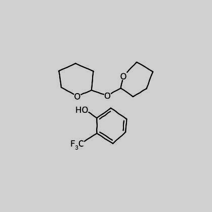 C1CCC(OC2CCCCO2)OC1.Oc1ccccc1C(F)(F)F